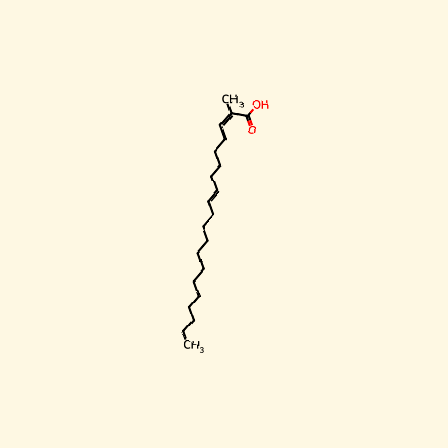 CCCCCCCCCCCC=CCCCCC=C(C)C(=O)O